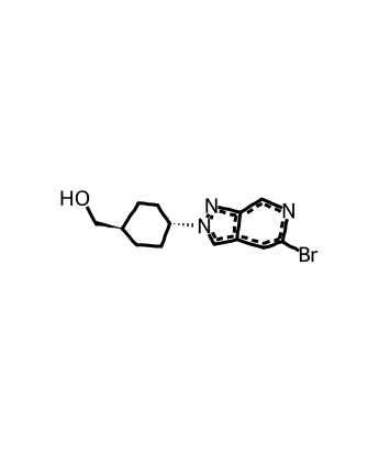 OC[C@H]1CC[C@H](n2cc3cc(Br)ncc3n2)CC1